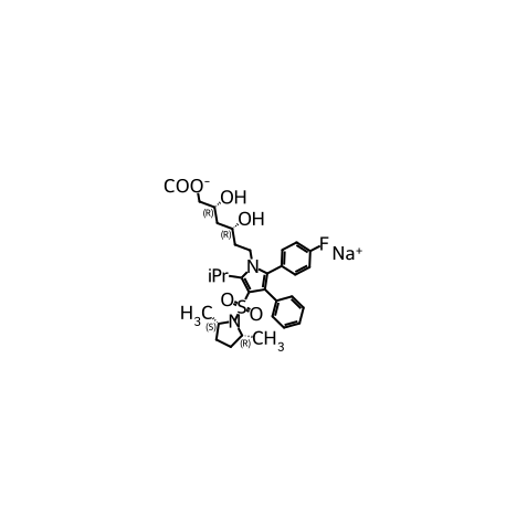 CC(C)c1c(S(=O)(=O)N2[C@H](C)CC[C@@H]2C)c(-c2ccccc2)c(-c2ccc(F)cc2)n1CC[C@@H](O)C[C@@H](O)CC(=O)[O-].[Na+]